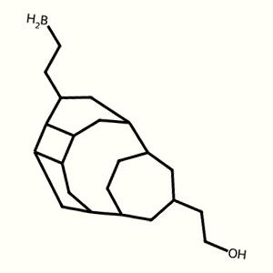 BCCC1CC2CC3C4CC(CC4C13)C1CCC2CC(CCO)C1